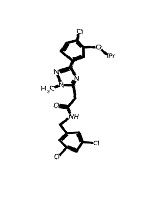 CC(C)Oc1cc(-c2nc(CC(=O)NCc3cc(Cl)cc(Cl)c3)n(C)n2)ccc1Cl